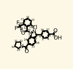 O=C(O)c1ccc(-c2nn(C(=O)c3c(Cl)cccc3C(F)(F)F)c3cc(C(=O)N4CCCC4)ccc23)cc1